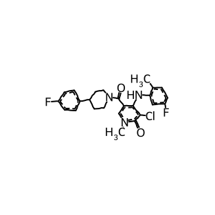 Cc1ccc(F)cc1Nc1c(C(=O)N2CCC(c3ccc(F)cc3)CC2)cn(C)c(=O)c1Cl